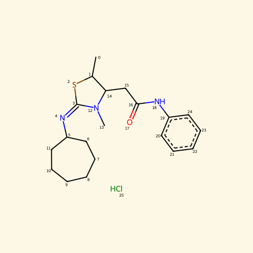 CC1SC(=NC2CCCCCC2)N(C)C1CC(=O)Nc1ccccc1.Cl